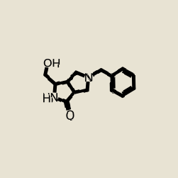 O=C1NC(CO)C2CN(Cc3ccccc3)CC12